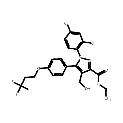 CCOC(=O)c1nn(-c2ccc(Cl)cc2Cl)c(-c2ccc(OCCC(F)(F)F)cc2)c1CO